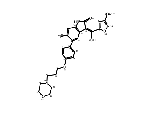 COc1cc(C(O)=C2C(=O)Nc3cc(Cl)c(-c4ccc(OCCCN5CCOCC5)cc4)cc32)on1